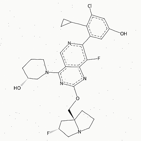 Oc1cc(Cl)c(C2CC2)c(-c2ncc3c(N4CCC[C@@H](O)C4)nc(OC[C@@]45CCCN4C[C@H](F)C5)nc3c2F)c1